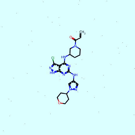 C=CC(=O)N1CCCC(Nc2nc(Nc3cnn(C4CCOCC4)c3)nc3[nH]nc(Cl)c23)C1